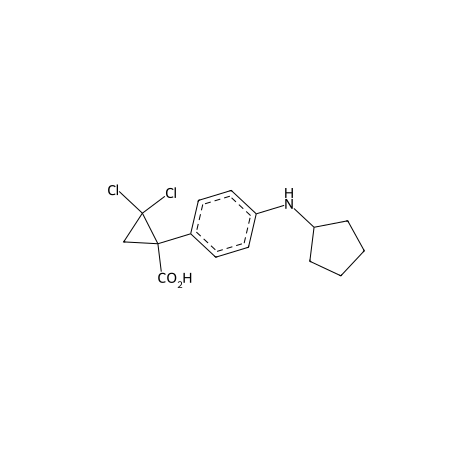 O=C(O)C1(c2ccc(NC3CCCC3)cc2)CC1(Cl)Cl